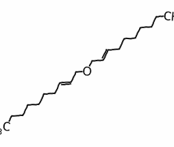 CCCCCCCC=CCOCC=CCCCCCCC